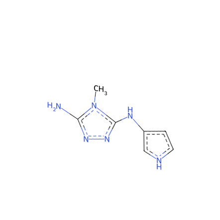 Cn1c(N)nnc1Nc1cc[nH]c1